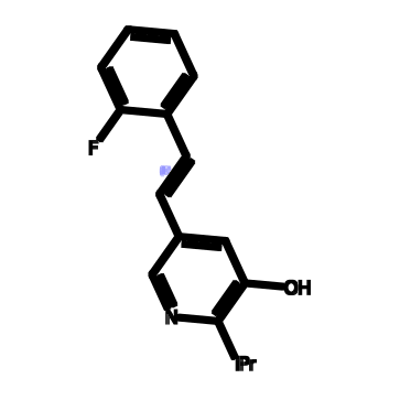 CC(C)c1ncc(/C=C/c2ccccc2F)cc1O